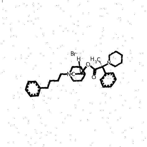 C[C@@](C(=O)O[C@H]1C[N+]2(CCCCc3ccccc3)CCC1CC2)(c1ccccc1)N1CCCCC1.[Br-]